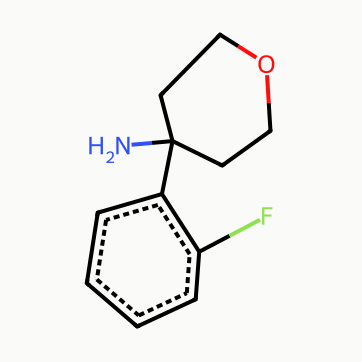 NC1(c2ccccc2F)CCOCC1